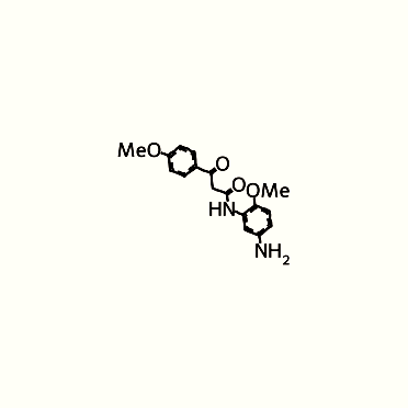 COc1ccc(C(=O)CC(=O)Nc2cc(N)ccc2OC)cc1